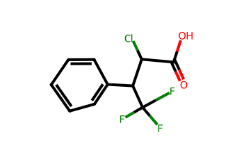 O=C(O)C(Cl)C(c1ccccc1)C(F)(F)F